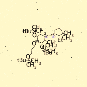 CCC1/C(=C/C=C2/CC(O[Si](C)(C)C(C)(C)C)[C@@H](OCCCO[Si](C)(C)C(C)(C)C)C(O[Si](C)(C)C(C)(C)C)C2C)CCCC1(C)C